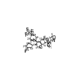 O=S(=O)(Nc1ccon1)c1cc2c(cc1F)C(N1CC[C@@H](C(F)(F)F)C[C@H]1c1ccc(F)cc1)CCO2